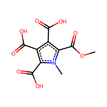 COC(=O)c1c(C(=O)O)c(C(=O)O)c(C(=O)O)n1C